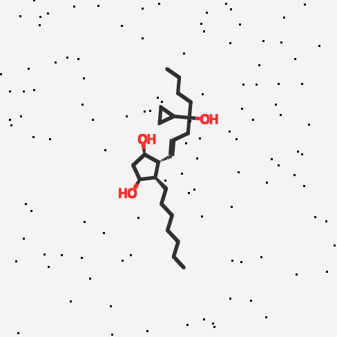 CCCCCCC[C@@H]1[C@@H](C=CCC(O)(CCCC)C2CC2)[C@H](O)C[C@@H]1O